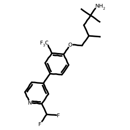 CC(COc1ccc(-c2ccnc(C(F)F)c2)cc1C(F)(F)F)CC(C)(C)N